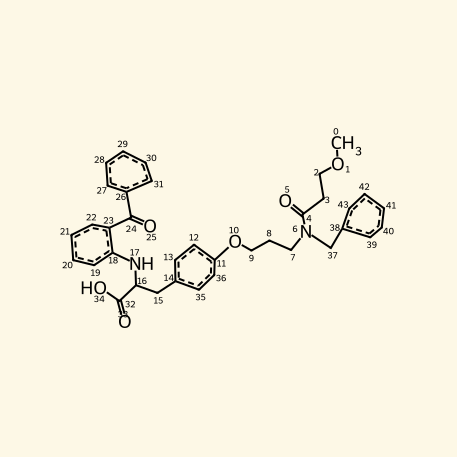 COCCC(=O)N(CCCOc1ccc(CC(Nc2ccccc2C(=O)c2ccccc2)C(=O)O)cc1)Cc1ccccc1